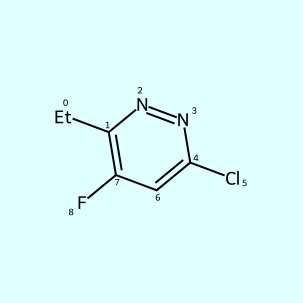 CCc1nnc(Cl)cc1F